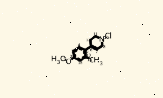 COc1ccc(C2=CCN(Cl)CC2)c(C)c1